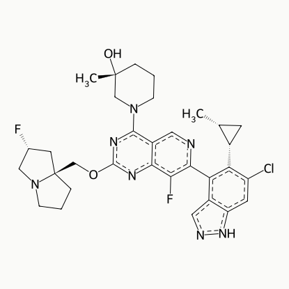 C[C@@H]1C[C@@H]1c1c(Cl)cc2[nH]ncc2c1-c1ncc2c(N3CCC[C@@](C)(O)C3)nc(OC[C@@]34CCCN3C[C@H](F)C4)nc2c1F